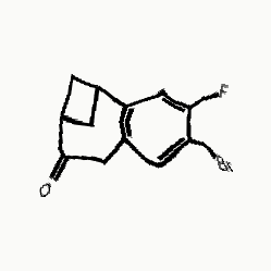 O=C1Cc2cc(Br)c(F)cc2C2CC1C2